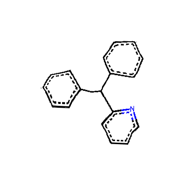 [c]1ccc(C(c2cc[c]cc2)c2ccccn2)cc1